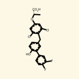 C[C@H](Oc1cc(Cl)c(Cc2ccc(O)c(-c3ccc(F)c(F)c3)c2)c(Cl)c1)C(=O)O